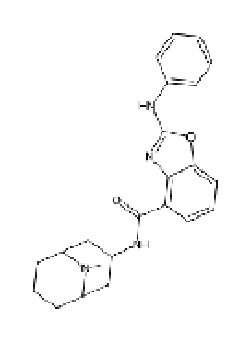 CN1C2CCCC1CC(NC(=O)c1cccc3oc(Nc4ccccc4)nc13)C2